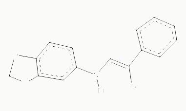 CCN(/C=C(\C(C)=O)c1ccccc1)c1ccc2c(c1)OCO2